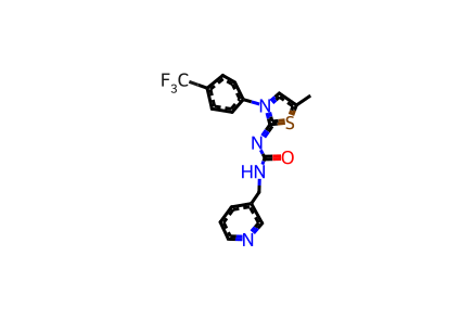 Cc1cn(-c2ccc(C(F)(F)F)cc2)/c(=N/C(=O)NCc2cccnc2)s1